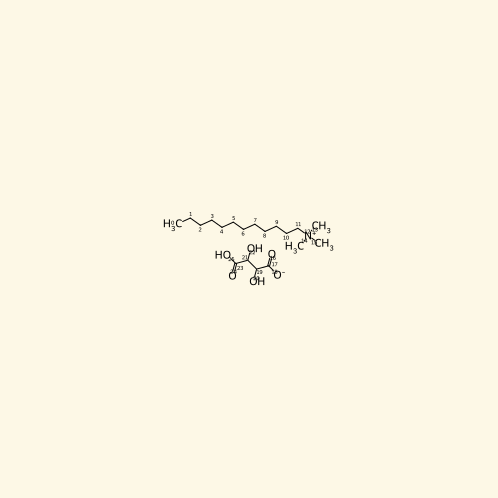 CCCCCCCCCCCC[N+](C)(C)C.O=C([O-])C(O)C(O)C(=O)O